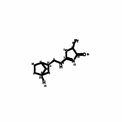 CC(C)C1SC(NC[C@H]2C[C@@H]3CCC2C3)=NC1=O